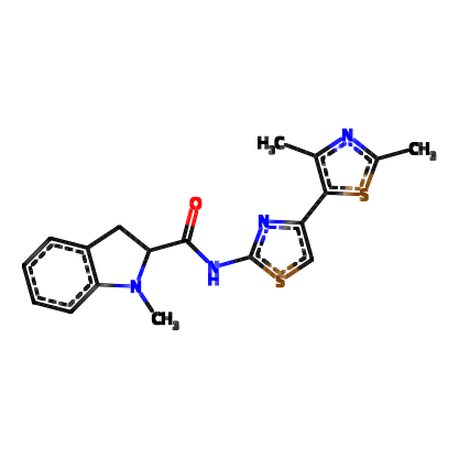 Cc1nc(C)c(-c2csc(NC(=O)C3Cc4ccccc4N3C)n2)s1